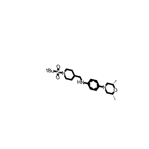 C[C@@H]1CN(c2ccc(NCC3CCN(S(=O)(=O)C(C)(C)C)CC3)cc2)C[C@H](C)O1